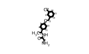 CC(NC(=O)CN)c1ccc(OCc2cccc(Cl)c2)cc1